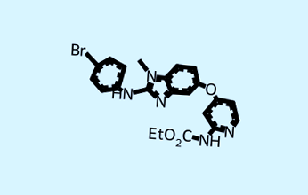 CCOC(=O)Nc1cc(Oc2ccc3c(c2)nc(Nc2ccc(Br)cc2)n3C)ccn1